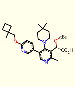 Cc1ncc(-c2ccc(OCC3(C)CCC3)nc2)c(N2CCC(C)(C)CC2)c1[C@H](OC(C)(C)C)C(=O)O